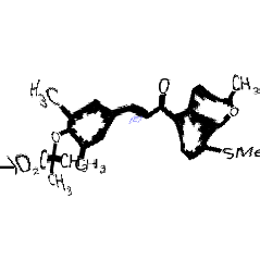 CSc1ccc(C(=O)/C=C/c2cc(C)c(OC(C)(C)C(=O)O)c(C)c2)c2cc(C)oc12